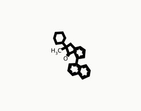 CC1(C2CCCCC2)Cc2cccc(-c3cccc4ccccc34)c2C1=O